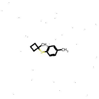 Cc1ccc(SC2(C)CCC2)cc1